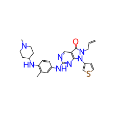 C=CCn1c(=O)c2cnc(Nc3ccc(NC4CCN(C)CC4)c(C)c3)nc2n1-c1ccsc1